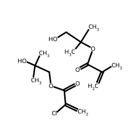 C=C(C)C(=O)OC(C)(C)CO.C=C(Cl)C(=O)OCC(C)(C)O